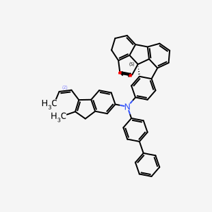 C/C=C\C1=C(C)Cc2cc(N(c3ccc(-c4ccccc4)cc3)c3ccc4c(c3)[C@]35C6=C(CCC=C6c6cccc-4c63)c3ccccc35)ccc21